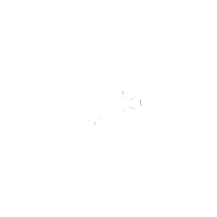 C=Nc1ccccc1NCC1CCN(C(=O)N2CCOCC2)CC1